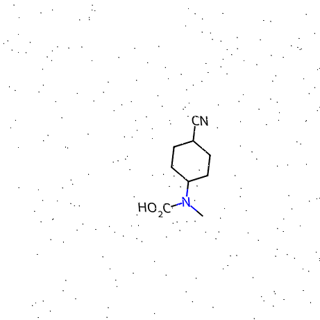 CN(C(=O)O)C1CCC(C#N)CC1